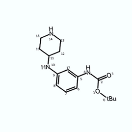 CC(C)(C)OC(=O)Nc1cccc(NC2CCNCC2)c1